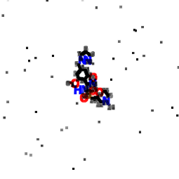 COc1cc(Cn2cccn2)cc2onc(NS(=O)(=O)CC3CN(C)CCO3)c12